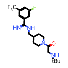 CC(C)(C)NCC(=O)N1CCC(CNC(=N)c2cc(F)cc(C(F)(F)F)c2)CC1